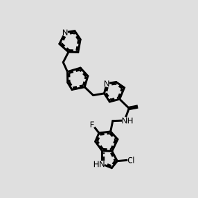 C=C(NCc1cc2c(Cl)c[nH]c2cc1F)c1ccnc(Cc2ccc(Cc3cccnc3)cc2)c1